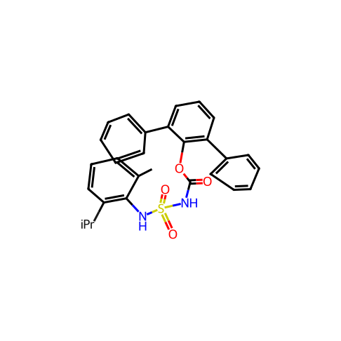 Cc1cccc(C(C)C)c1NS(=O)(=O)NC(=O)Oc1c(-c2ccccc2)cccc1-c1ccccc1